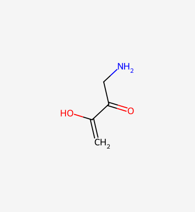 C=C(O)C(=O)CN